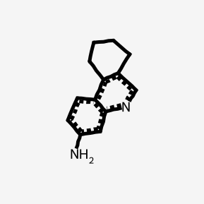 Nc1ccc2c3c(cnc2c1)CCCC3